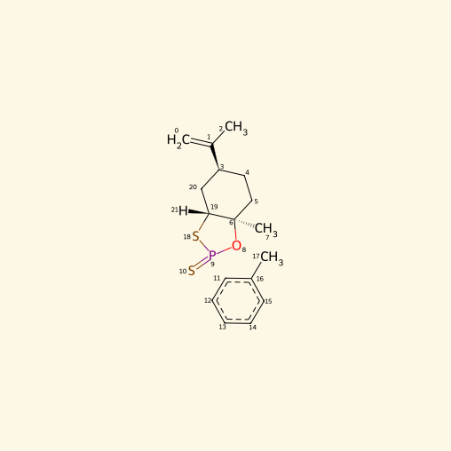 C=C(C)[C@H]1CC[C@@]2(C)O[P@@](=S)(c3ccccc3C)S[C@@H]2C1